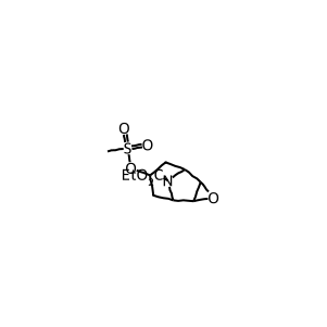 CCOC(=O)N1C2CC(OS(C)(=O)=O)CC1C1OC12